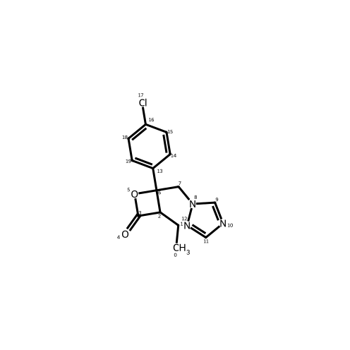 CCC1C(=O)OC1(Cn1cncn1)c1ccc(Cl)cc1